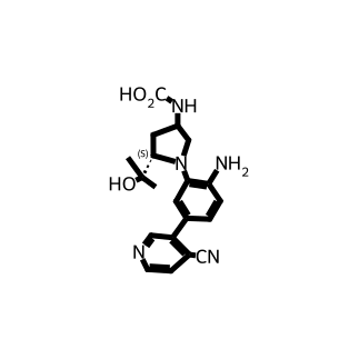 CC(C)(O)[C@@H]1CC(NC(=O)O)CN1c1cc(-c2cnccc2C#N)ccc1N